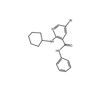 O=C(Nc1ccccc1)c1cc(Br)cnc1NC1CCCCC1